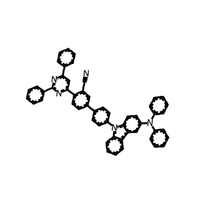 N#Cc1cc(-c2ccc(-n3c4ccccc4c4cc(N(c5ccccc5)c5ccccc5)ccc43)cc2)ccc1-c1cc(-c2ccccc2)nc(-c2ccccc2)n1